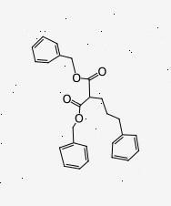 O=C(OCc1ccccc1)C(CCCc1ccccc1)C(=O)OCc1ccccc1